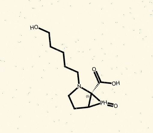 O=C(O)[C@]12C(CCN1CCCCCO)[PH]2=O